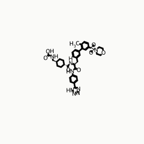 Cc1ccc(S(=O)(=O)N2CCOCC2)cc1-c1cccc(C[C@H](NC(=O)[C@H]2CC[C@H](CNC(=O)O)CC2)C(=O)Nc2ccc(-c3nnn[nH]3)cc2)c1